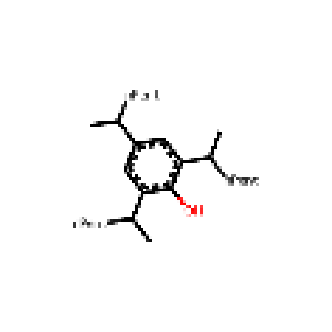 CCCCCC(C)c1cc(C(C)CCCCC)c(O)c(C(C)CCCCC)c1